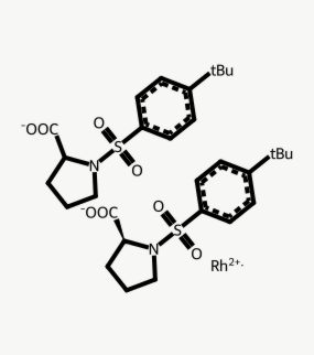 CC(C)(C)c1ccc(S(=O)(=O)N2CCCC2C(=O)[O-])cc1.CC(C)(C)c1ccc(S(=O)(=O)N2CCC[C@H]2C(=O)[O-])cc1.[Rh+2]